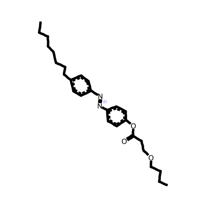 CCCCCCCCc1ccc(/N=N/c2ccc(OC(=O)CCOCCCC)cc2)cc1